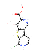 COC(=O)c1ncc2c(sc3c(Cl)nccc32)c1O